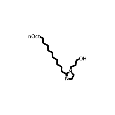 CCCCCCCCC=CCCCCCCCCC1=NCCN1CCCO